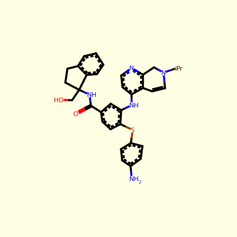 CC(C)N1C=Cc2c(Nc3cc(C(=O)NC4(CO)CCc5ccccc54)ccc3Sc3ccc(N)cc3)ccnc2C1